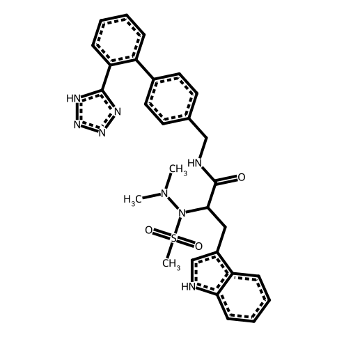 CN(C)N(C(Cc1c[nH]c2ccccc12)C(=O)NCc1ccc(-c2ccccc2-c2nnn[nH]2)cc1)S(C)(=O)=O